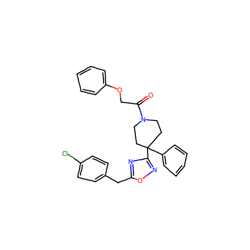 O=C(COc1ccccc1)N1CCC(c2ccccc2)(c2noc(Cc3ccc(Cl)cc3)n2)CC1